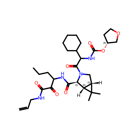 C=CCNC(=O)C(=O)C(CCC)NC(=O)[C@@H]1[C@@H]2[C@H](CN1C(=O)C(NC(=O)O[C@@H]1CCOC1)C1CCCCC1)C2(C)C